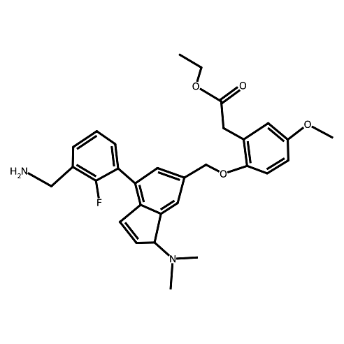 CCOC(=O)Cc1cc(OC)ccc1OCc1cc(-c2cccc(CN)c2F)c2c(c1)C(N(C)C)C=C2